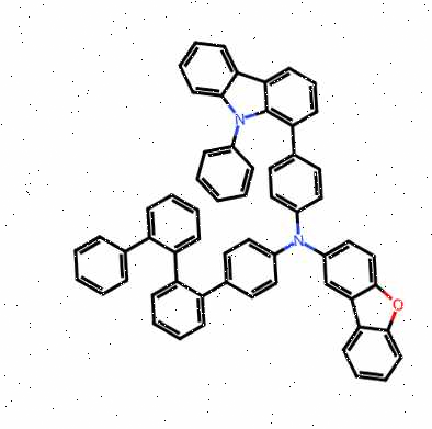 c1ccc(-c2ccccc2-c2ccccc2-c2ccc(N(c3ccc(-c4cccc5c6ccccc6n(-c6ccccc6)c45)cc3)c3ccc4oc5ccccc5c4c3)cc2)cc1